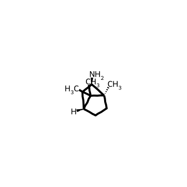 CC1(C)[C@@H]2CC[C@]1(C)[C@H](N)C2